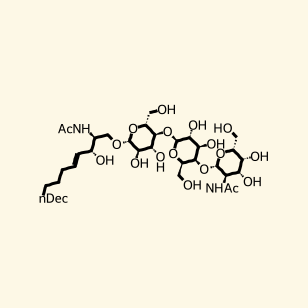 CCCCCCCCCCCCC/C=C/[C@@H](O)[C@H](CO[C@@H]1O[C@H](CO)[C@@H](O[C@@H]2O[C@H](CO)[C@H](O[C@@H]3O[C@H](CO)[C@H](O)[C@H](O)[C@H]3NC(C)=O)[C@H](O)[C@H]2O)[C@H](O)[C@H]1O)NC(C)=O